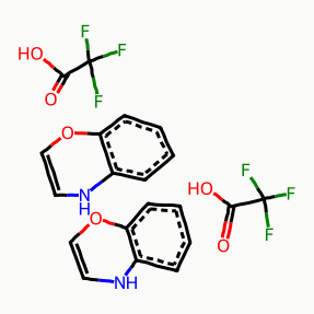 C1=COc2ccccc2N1.C1=COc2ccccc2N1.O=C(O)C(F)(F)F.O=C(O)C(F)(F)F